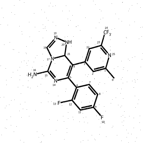 Cc1cc(C2=C(c3ccc(F)cc3F)N=C(N)N3C=NNC23)cc(C(F)(F)F)n1